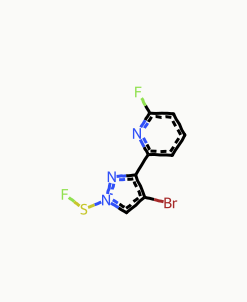 FSn1cc(Br)c(-c2cccc(F)n2)n1